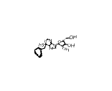 OC[C@H]1O[C@@H](N2CN=C3C2=NC=NC3(S)Cc2ccccc2)[C@H](O)[C@@H]1O